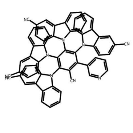 N#Cc1ccc2c(c1)c1ccccc1n2-c1c(C#N)c(-c2cccnc2)c(-n2c3ccccc3c3cc(C#N)ccc32)c(-n2c3ccccc3c3cc(C#N)ccc32)c1-n1c2ccccc2c2cc(C#N)ccc21